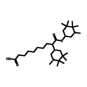 CN1CC(OC(=O)C(CCCCCCCC(=O)O)C2CN(C)C(C)(C)C(C)(C)C2)CC(C)(C)C1(C)C